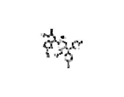 CC[C@@H]1CN(c2cc(=O)n(C)c3ccc(C#N)nc23)[C@@H](C)CN1C(c1ccc(F)cc1)c1ccc(Cl)cc1